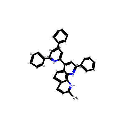 Cc1ccc2ccc3c(-c4cc(-c5ccccc5)cc(-c5ccccc5)n4)cc(-c4ccccc4)nc3c2n1